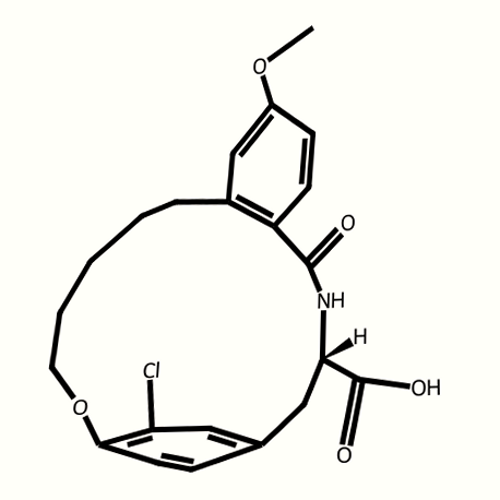 COc1ccc2c(c1)CCCCCOc1ccc(cc1Cl)C[C@@H](C(=O)O)NC2=O